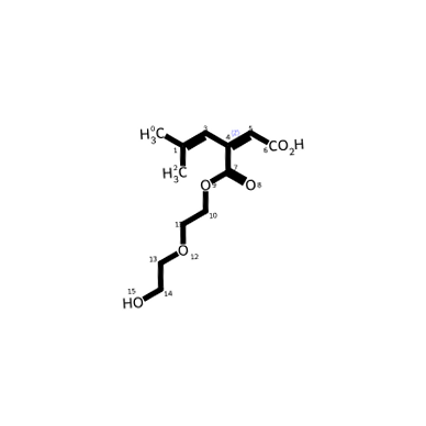 CC(C)=C/C(=C/C(=O)O)C(=O)OCCOCCO